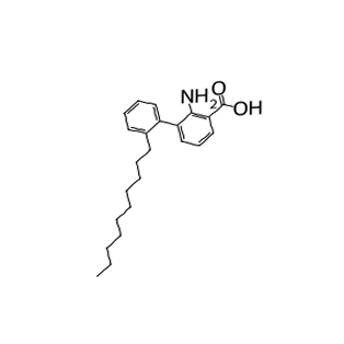 CCCCCCCCCCc1ccccc1-c1cccc(C(=O)O)c1N